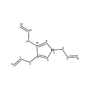 C=CCc1cn(CC=C)cc1CC=C